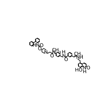 C[C@H](Cc1cccc(C(=O)NCc2ccc(N(C)C(=O)CCN3CCC(OC(=O)Nc4ccccc4-c4ccccc4)CC3)cc2)c1)NCCc1ccc(O)c2[nH]c(=O)ccc12